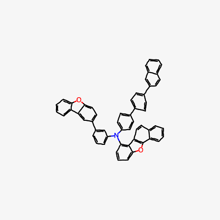 c1cc(-c2ccc3oc4ccccc4c3c2)cc(N(c2ccc(-c3ccc(-c4ccc5ccccc5c4)cc3)cc2)c2cccc3oc4c5ccccc5ccc4c23)c1